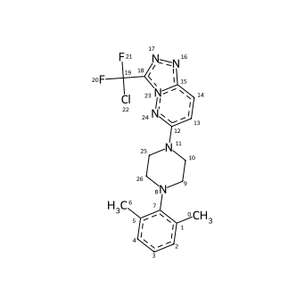 Cc1cccc(C)c1N1CCN(c2ccc3nnc(C(F)(F)Cl)n3n2)CC1